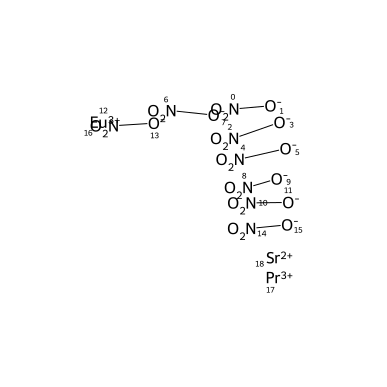 O=[N+]([O-])[O-].O=[N+]([O-])[O-].O=[N+]([O-])[O-].O=[N+]([O-])[O-].O=[N+]([O-])[O-].O=[N+]([O-])[O-].O=[N+]([O-])[O-].O=[N+]([O-])[O-].[Eu+3].[Pr+3].[Sr+2]